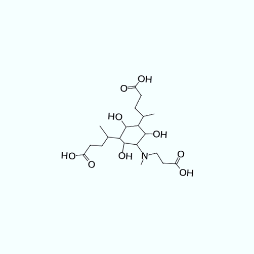 CC(CCC(=O)O)C1C(O)C(C(C)CCC(=O)O)C(O)C(N(C)CCC(=O)O)C1O